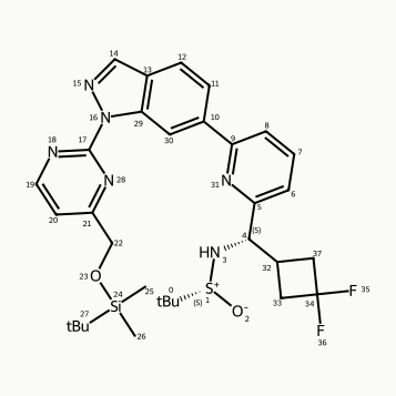 CC(C)(C)[S@@+]([O-])N[C@H](c1cccc(-c2ccc3cnn(-c4nccc(CO[Si](C)(C)C(C)(C)C)n4)c3c2)n1)C1CC(F)(F)C1